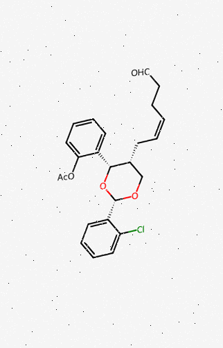 CC(=O)Oc1ccccc1[C@H]1O[C@@H](c2ccccc2Cl)OC[C@H]1C/C=C\CCC=O